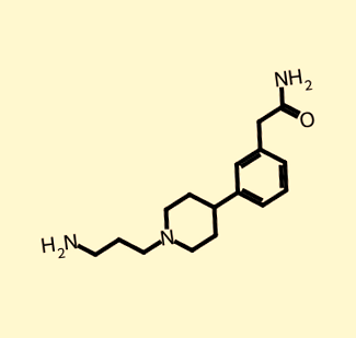 NCCCN1CCC(c2cccc(CC(N)=O)c2)CC1